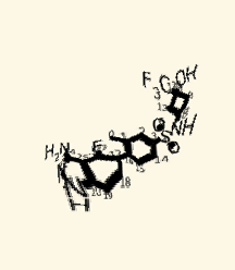 Cc1cc(S(=O)(=O)NC2CC(O)(C(F)(F)F)C2)ccc1-c1ccc2[nH]nc(N)c2c1F